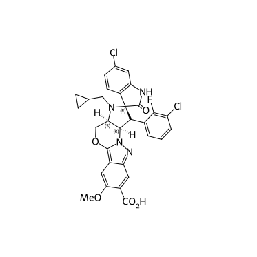 COc1cc2c3n(nc2cc1C(=O)O)[C@@H]1C(c2cccc(Cl)c2F)[C@@]2(C(=O)Nc4cc(Cl)ccc42)N(CC2CC2)[C@@H]1CO3